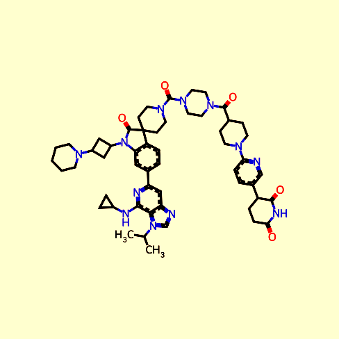 CC(C)n1cnc2cc(-c3ccc4c(c3)N(C3CC(N5CCCCC5)C3)C(=O)C43CCN(C(=O)N4CCN(C(=O)C5CCN(c6ccc(C7CCC(=O)NC7=O)cn6)CC5)CC4)CC3)nc(NC3CC3)c21